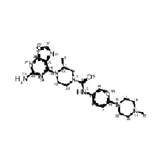 C[C@H]1CN(C(=O)Nc2ccc(N3CCN(C)CC3)nc2)CCN1c1nc(N)nc2scnc12